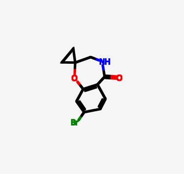 O=C1NCC2(CC2)Oc2cc(Br)ccc21